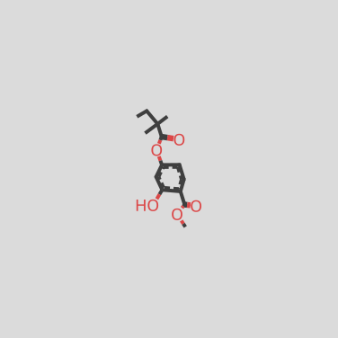 CCC(C)(C)C(=O)Oc1ccc(C(=O)OC)c(O)c1